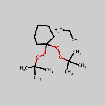 CC(C)(C)OOC1(OOC(C)(C)C)CCCCC1.CCC